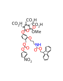 COC(=O)[C@H]1O[C@@H](Oc2ccc(COC(=O)Oc3ccc([N+](=O)[O-])cc3)c(OCCCNC(=O)OCC3c4ccccc4-c4ccccc43)c2)[C@H](CC(=O)O)[C@@H](CC(=O)O)[C@@H]1CC(=O)O